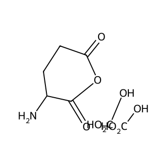 NC1CCC(=O)OC1=O.O=C(O)O.O=C(O)O